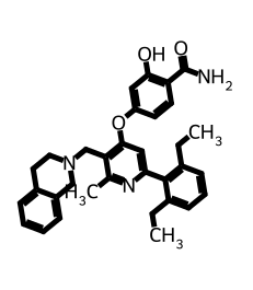 CCc1cccc(CC)c1-c1cc(Oc2ccc(C(N)=O)c(O)c2)c(CN2CCc3ccccc3C2)c(C)n1